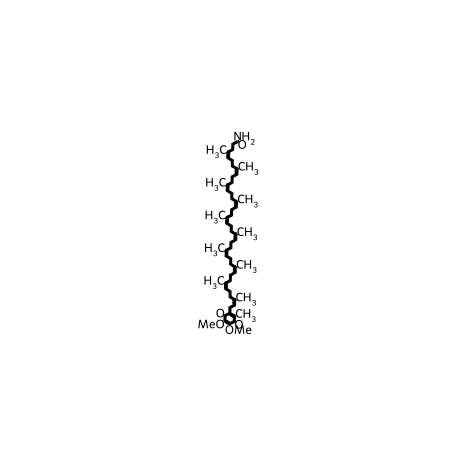 COC1=C(OC)C(=O)C(CC=C(C)CCC=C(C)CCC=C(C)CCC=C(C)CCC=C(C)CCC=C(C)CCC=C(C)CCC=C(C)CCC=C(C)CCC=C(C)CCC(N)=O)=C(C)C1=O